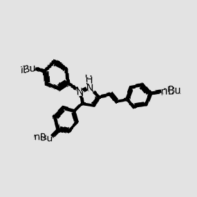 CCCCc1ccc(C=CC2=CC(c3ccc(CCCC)cc3)N(c3ccc(C(C)CC)cc3)N2)cc1